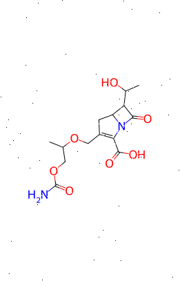 CC(COC(N)=O)OCC1=C(C(=O)O)N2C(=O)C(C(C)O)C2C1